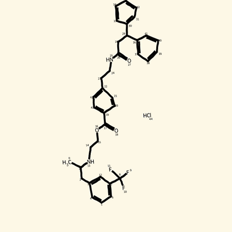 CC(Cc1cccc(C(F)(F)F)c1)NCCOC(=O)c1ccc(CCNC(=O)CC(c2ccccc2)c2ccccc2)cc1.Cl